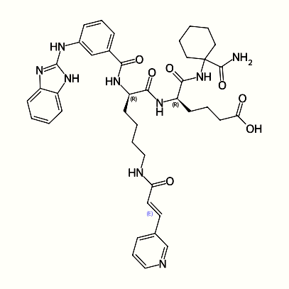 NC(=O)C1(NC(=O)[C@@H](CCCC(=O)O)NC(=O)[C@@H](CCCCNC(=O)/C=C/c2cccnc2)NC(=O)c2cccc(Nc3nc4ccccc4[nH]3)c2)CCCCC1